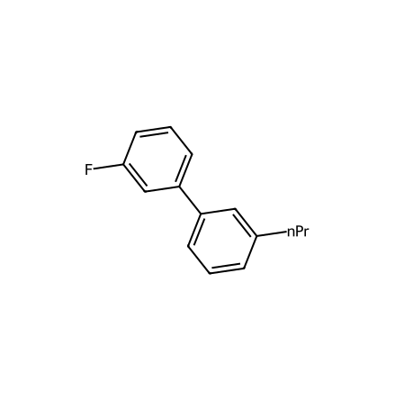 [CH2]CCc1cccc(-c2cccc(F)c2)c1